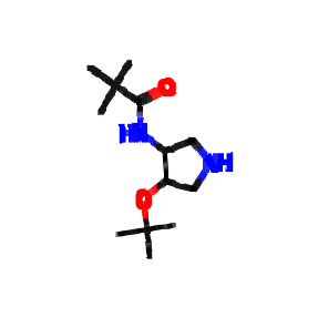 CC(C)(C)OC1CNCC1NC(=O)C(C)(C)C